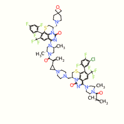 C=CC(=O)N1[C@H](C)CN(c2nc(=O)n3c4c(c(-c5cc(Cl)c(F)cc5F)c(C(F)(F)F)cc24)SC[C@@H]3CN2CCN(C3CC3C(=C)C(=O)N3C[C@H](C)N(c4nc(=O)n5c6c(c(-c7ccc(F)cc7F)c(C(F)(F)F)cc46)SC[C@@H]5CN4CCC5(CC4)COC5)C[C@H]3C)CC2)C[C@@H]1C